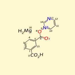 O=C(O)c1cccc(C(=O)O[n+]2cccnc2)c1.[MgH2]